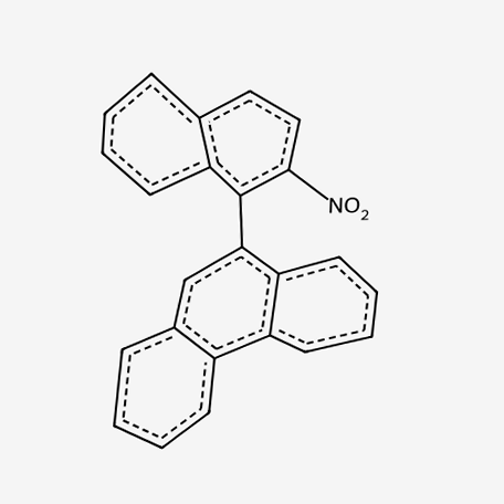 O=[N+]([O-])c1ccc2ccccc2c1-c1cc2ccccc2c2ccccc12